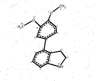 COc1ccc(-c2cccc3c2CCN3)cc1OC